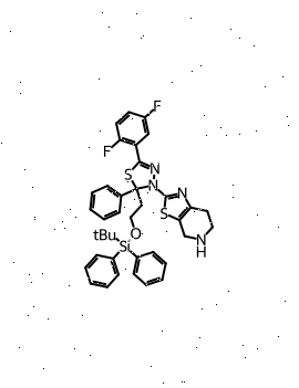 CC(C)(C)[Si](OCCC1(c2ccccc2)SC(c2cc(F)ccc2F)=NN1c1nc2c(s1)CNCC2)(c1ccccc1)c1ccccc1